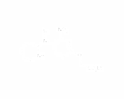 CCOC(=O)COc1ccc(N(C(C)=O)C2CCCCN2)c([N+](=O)[O-])c1